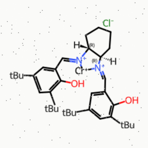 CC(C)(C)c1cc(C=[N+]2[Cr+][N+](=Cc3cc(C(C)(C)C)cc(C(C)(C)C)c3O)[C@@H]3CCCC[C@H]32)c(O)c(C(C)(C)C)c1.[Cl-]